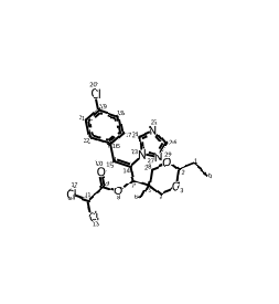 CCC1OCC(C)(C(OC(=O)C(Cl)Cl)/C(=C/c2ccc(Cl)cc2)n2cncn2)CO1